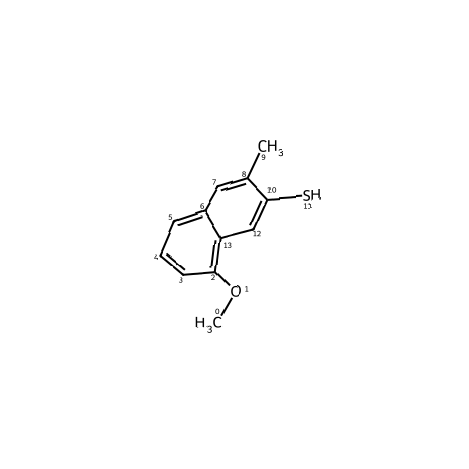 COc1cccc2cc(C)c(S)cc12